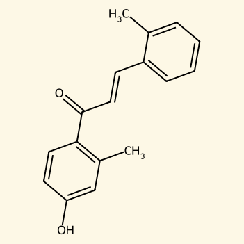 Cc1ccccc1C=CC(=O)c1ccc(O)cc1C